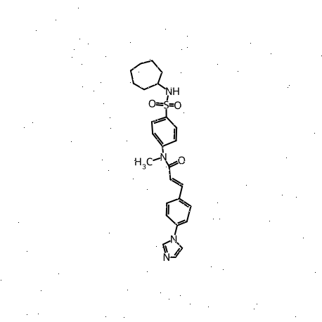 CN(C(=O)C=Cc1ccc(-n2ccnc2)cc1)c1ccc(S(=O)(=O)NC2CCCCCC2)cc1